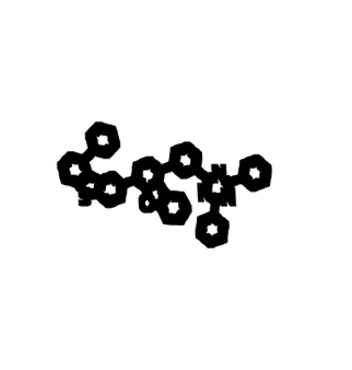 c1ccc(-c2nc(-c3ccccc3)nc(-c3cccc(-c4ccc(-c5ccc6sc7cccc(-c8ccccc8)c7c6c5)c5oc6ccccc6c45)c3)n2)cc1